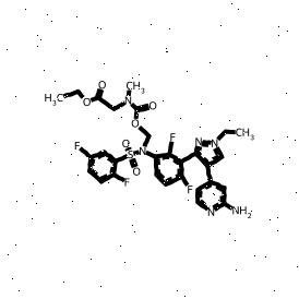 CCOC(=O)CN(C)C(=O)OCN(c1ccc(F)c(-c2nn(CC)cc2-c2ccnc(N)c2)c1F)S(=O)(=O)c1cc(F)ccc1F